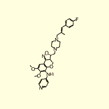 COc1cc2c(c(Nc3ccncc3)c1OC)OCC1C2=NOC1CN1CCN(C/C(C)=C/c2ccc(F)cc2)CC1